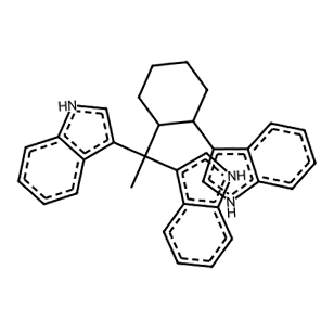 CC(c1c[nH]c2ccccc12)(c1c[nH]c2ccccc12)C1CCCCC1c1c[nH]c2ccccc12